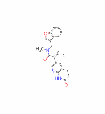 C=C(C(=O)N(C)Cc1coc2ccccc12)c1cnc2c(c1)CCC(=O)N2